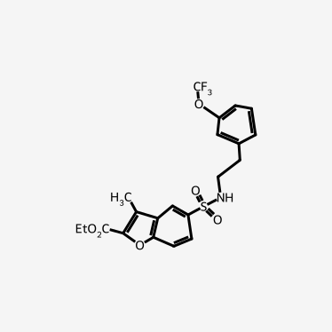 CCOC(=O)c1oc2ccc(S(=O)(=O)NCCc3cccc(OC(F)(F)F)c3)cc2c1C